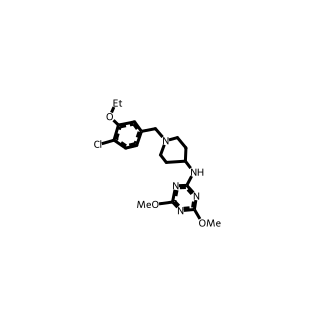 CCOc1cc(CN2CCC(Nc3nc(OC)nc(OC)n3)CC2)ccc1Cl